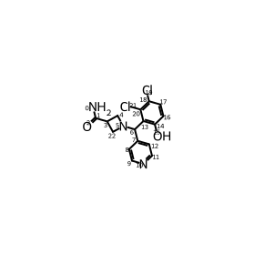 NC(=O)C1CN(C(c2ccncc2)c2c(O)ccc(Cl)c2Cl)C1